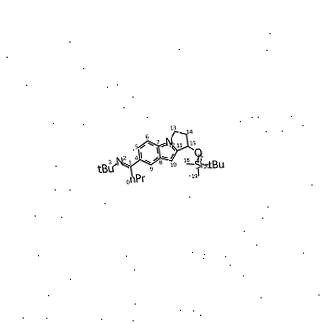 CCC/C(=N\C(C)(C)C)c1ccc2c(c1)cc1n2CCC1O[Si](C)(C)C(C)(C)C